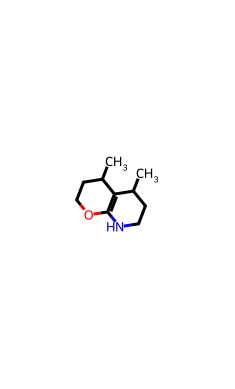 CC1CCNC2=C1C(C)CCO2